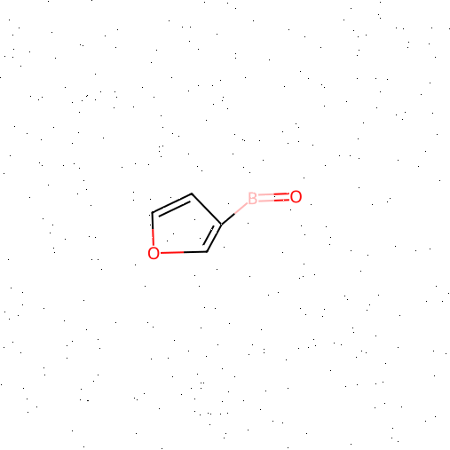 O=Bc1ccoc1